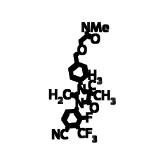 C=C1N(c2ccc(C#N)c(C(F)(F)F)c2F)C(=O)C(C)(C)N1c1ccc(COCC(=O)NC)cc1